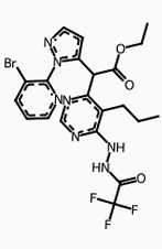 CCCc1c(NNC(=O)C(F)(F)F)ncnc1C(C(=O)OCC)c1ccnn1-c1ncccc1Br